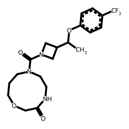 CC(Oc1ccc(C(F)(F)F)cc1)C1CN(C(=O)N2CCCOCC(=O)NCC2)C1